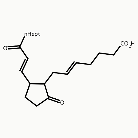 CCCCCCCC(=O)C=CC1CCC(=O)C1CC=CCCCC(=O)O